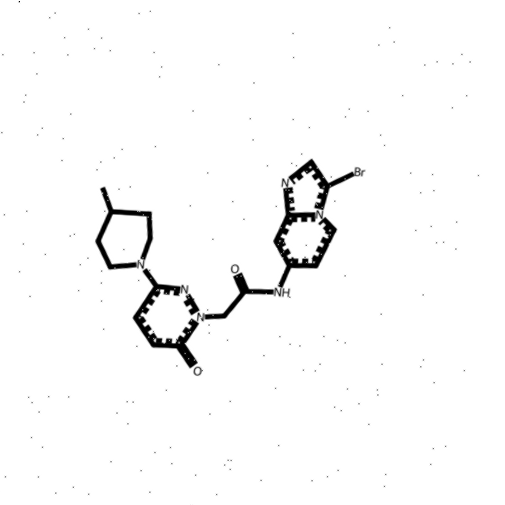 CC1CCN(c2ccc(=O)n(CC(=O)Nc3ccn4c(Br)cnc4c3)n2)CC1